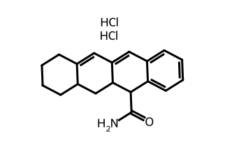 Cl.Cl.NC(=O)C1c2ccccc2C=C2C=C3CCCCC3CC21